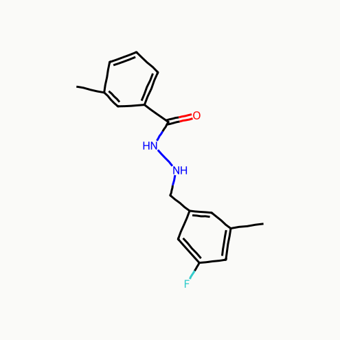 Cc1cc(F)cc(CNNC(=O)c2cccc(C)c2)c1